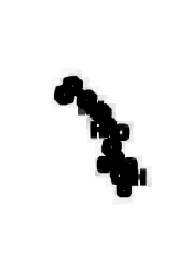 O=C1CCC(N2Cc3cc(C(=O)NCC4CCN(c5ccc(-c6cccc7ccccc67)cn5)CC4)ccc3C2=O)C(=O)N1